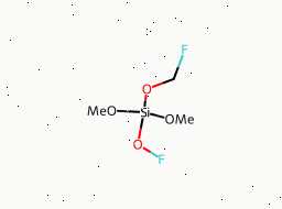 CO[Si](OC)(OF)OCF